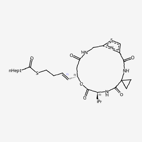 CCCCCCCC(=O)SCC/C=C/[C@@H]1CC(=O)NCc2nc(cs2)C(=O)NC2(CC2)C(=O)N[C@@H](C(C)C)C(=O)O1